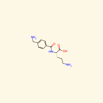 NCCC[C@H](NC(=O)c1ccc(CN)cc1)C(=O)O